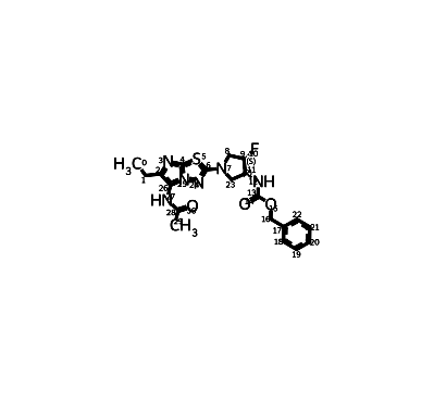 CCc1nc2sc(N3C[C@H](F)[C@H](NC(=O)OCc4ccccc4)C3)nn2c1NC(C)=O